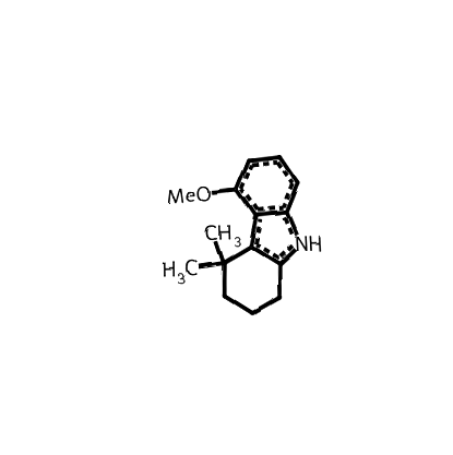 COc1cccc2[nH]c3c(c12)C(C)(C)CCC3